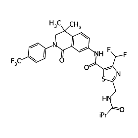 CC(C)C(=O)NCc1nc(C(F)F)c(C(=O)Nc2ccc3c(c2)C(=O)N(c2ccc(C(F)(F)F)cc2)CC3(C)C)s1